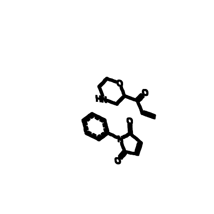 C=CC(=O)C1CNCCO1.O=C1C=CC(=O)N1c1ccccc1